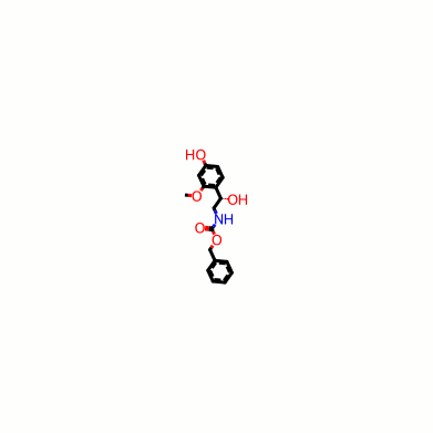 COc1cc(O)ccc1[C@H](O)CNC(=O)OCc1ccccc1